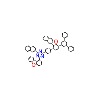 c1ccc(-c2cc(-c3ccccc3)cc(-c3ccc(-c4ccc(-c5nc(-c6ccc7ccccc7c6)nc(-c6cccc7oc8ccccc8c67)n5)cc4)c4c3oc3cc5ccccc5cc34)c2)cc1